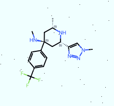 CN[C@]1(c2ccc(C(F)(F)F)cc2)C[C@@H](c2cn(C)nn2)N[C@@H](C)C1